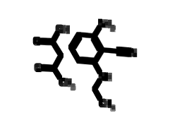 CC(=O)CC(=O)O.CCNc1cccc(N)c1C#N